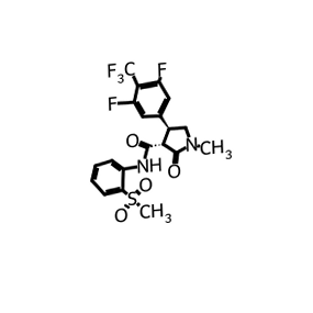 CN1C[C@H](c2cc(F)c(C(F)(F)F)c(F)c2)[C@@H](C(=O)Nc2ccccc2S(C)(=O)=O)C1=O